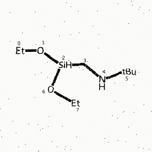 CCO[SiH](CNC(C)(C)C)OCC